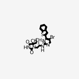 CCC1(C)C(=O)NC(=O)N1CCNc1ncc(Br)c(-c2cc3ccccc3s2)n1